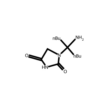 CCCCC(N)(CCCC)N1CC(=O)NC1=O